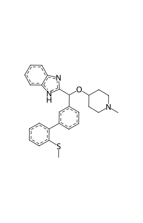 CSc1ccccc1-c1cccc(C(OC2CCN(C)CC2)c2nc3ccccc3[nH]2)c1